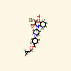 O=C(CBr)N(C1CCN(C2CCC(COCC3CC3)CC2)CC1)[C@@H]1CCCC[C@H]1O